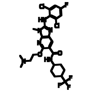 CN(C)CCOc1nc2c(cc1C(=O)NC1CCC(C(F)(F)F)CC1)nc(Nc1c(Cl)cc(F)cc1Cl)n2C